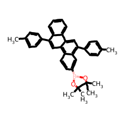 Cc1ccc(-c2cc3c4ccc(B5OC(C)(C)C(C)(C)O5)cc4c(-c4ccc(C)cc4)cc3c3ccccc23)cc1